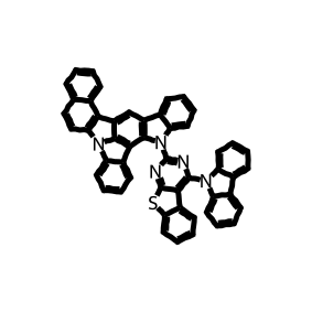 c1ccc2c(c1)ccc1c2c2cc3c4ccccc4n(-c4nc(-n5c6ccccc6c6ccccc65)c5c(n4)sc4ccccc45)c3c3c4ccccc4n1c23